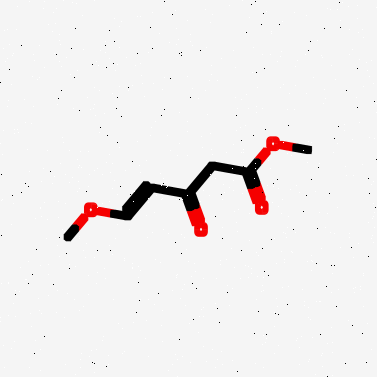 COC=CC(=O)CC(=O)OC